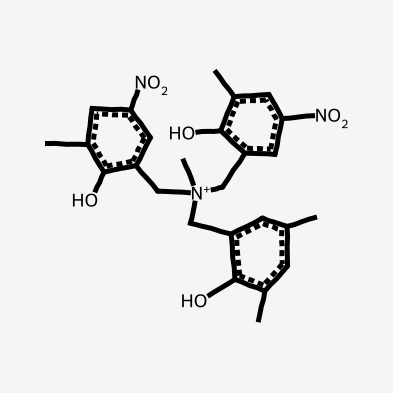 Cc1cc(C)c(O)c(C[N+](C)(Cc2cc([N+](=O)[O-])cc(C)c2O)Cc2cc([N+](=O)[O-])cc(C)c2O)c1